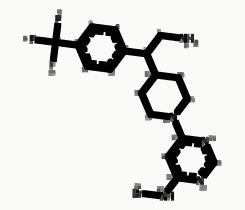 NCC(c1ccc(C(F)(F)F)cc1)C1CCN(c2cc(NBr)ncn2)CC1